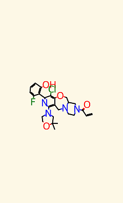 C=CC(=O)N1CCN2Cc3c(N4CCOC(C)(C)C4)nc(-c4c(O)cccc4F)c(Cl)c3OCC2C1